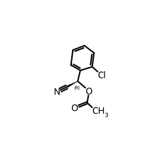 CC(=O)O[C@@H](C#N)c1ccccc1Cl